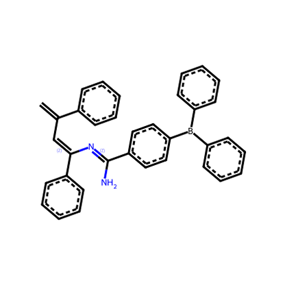 C=C(/C=C(\N=C(/N)c1ccc(B(c2ccccc2)c2ccccc2)cc1)c1ccccc1)c1ccccc1